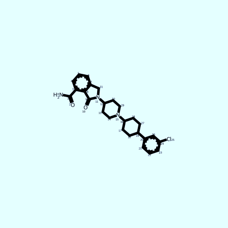 NC(=O)c1cccc2c1C(=O)N(C1CCN(C3CCC(c4cccc(Cl)c4)CC3)CC1)C2